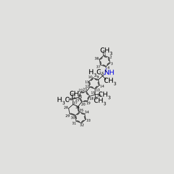 Cc1ccc(NC(C)(C)c2ccc3c(c2)C(C)(C)c2cc4c(cc2-3)C(C)(C)C2CC=c3ccccc3=C42)cc1